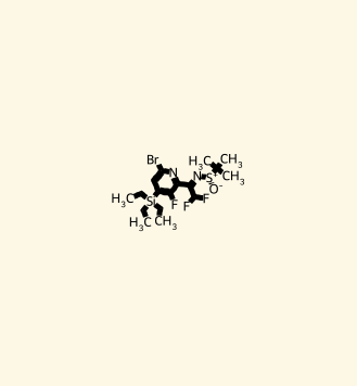 CC[Si](CC)(CC)c1cc(Br)nc(C(=N[S+]([O-])C(C)(C)C)C(F)F)c1F